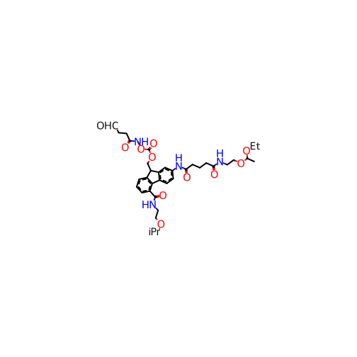 CCOC(C)OCCNC(=O)CCCC(=O)Nc1ccc2c(c1)C(COC(=O)ONC(=O)CCC=O)c1cccc(C(=O)NCCOC(C)C)c1-2